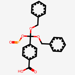 O=POC(OCc1ccccc1)(OCc1ccccc1)c1ccc(C(=O)O)cc1